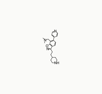 CN(C)Cc1c(-c2ccncc2)ccc2c(CCC3CCNCC3)noc12